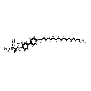 CCCCCCCCCCCCCCCCCOc1ccc(-c2ccc(OC(=O)C(F)C(C)C)cc2)cc1